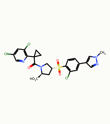 Cn1cc(-c2ccc(S(=O)(=O)[C@@H]3C[C@@H](C(=O)O)N(C(=O)C4(c5ncc(Cl)cc5Cl)CC4)C3)c(Cl)c2)cn1